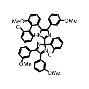 COc1cccc(C2=NC(c3nc(-c4cccc(OC)c4)c(-c4cccc(OC)c4-c4ccccc4Cl)[nH]3)(c3ccccc3Cl)N=C2c2cccc(OC)c2)c1